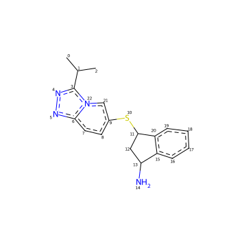 CC(C)c1nnc2ccc(SC3CC(N)c4ccccc43)cn12